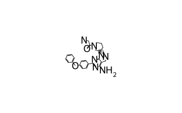 CN(C)CC(=O)N1CCC[C@@H](n2ncc3c(N)nc(-c4ccc(Oc5ccccc5)cc4)nc32)C1